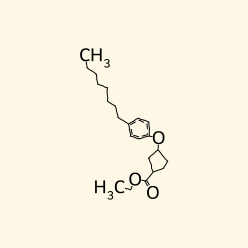 CCCCCCCCc1ccc(OC2CCC(C(=O)OCC)C2)cc1